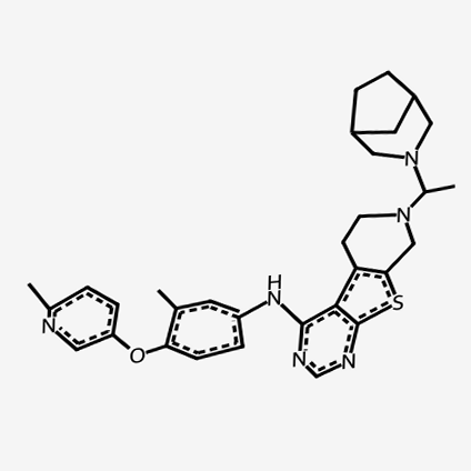 Cc1ccc(Oc2ccc(Nc3ncnc4sc5c(c34)CCN(C(C)N3CC4CCC(C4)C3)C5)cc2C)cn1